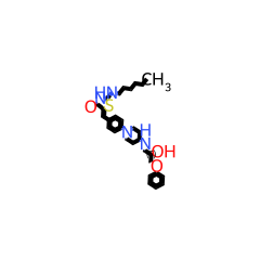 CCCCCCNC1=NC(=O)C(=Cc2ccc(N3CCC(NC[C@H](O)COc4ccccc4)CC3)cc2)S1